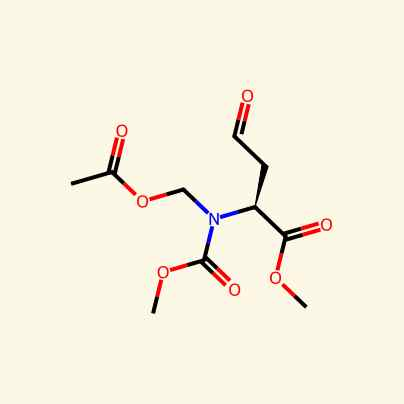 COC(=O)[C@H](CC=O)N(COC(C)=O)C(=O)OC